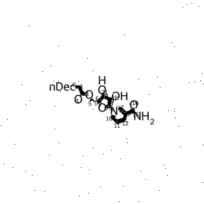 CCCCCCCCCCCC(=O)OC[C@H]1O[C@@H]([n+]2cccc(C(N)=O)c2)[C@H](O)[C@@H]1O